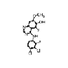 COc1cc2ncnc(Nc3ccc(Cl)c(Cl)c3F)c2c(F)c1O